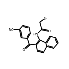 N#Cc1cccc(C(=O)c2ccc3ccccc3c2NC(=O)CBr)c1